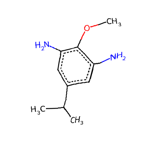 COc1c(N)cc(C(C)C)cc1N